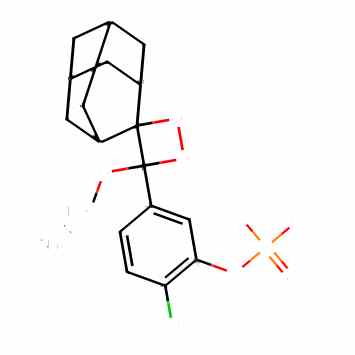 COC1(c2ccc(Cl)c(OP(=O)([O-])[O-])c2)OOC12C1CC3CC(C1)CC2C3.[Na+].[Na+]